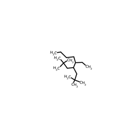 CCCCC(CC)[C](CC(C)(C)C)CC(C)(C)C